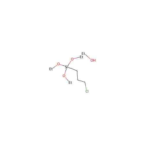 CCO.CCO[Si](CCCCl)(OCC)OCC